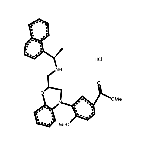 COC(=O)c1ccc(OC)c(N2CC(CN[C@H](C)c3cccc4ccccc34)Oc3ccccc32)c1.Cl